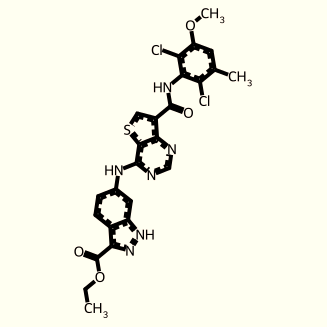 CCOC(=O)c1n[nH]c2cc(Nc3ncnc4c(C(=O)Nc5c(Cl)c(C)cc(OC)c5Cl)csc34)ccc12